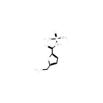 CCc1ccc(C(=O)NP(N)(N)=O)s1